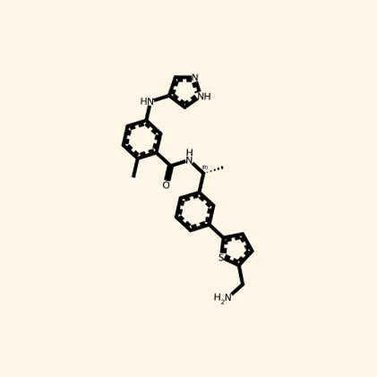 Cc1ccc(Nc2cn[nH]c2)cc1C(=O)N[C@H](C)c1cccc(-c2ccc(CN)s2)c1